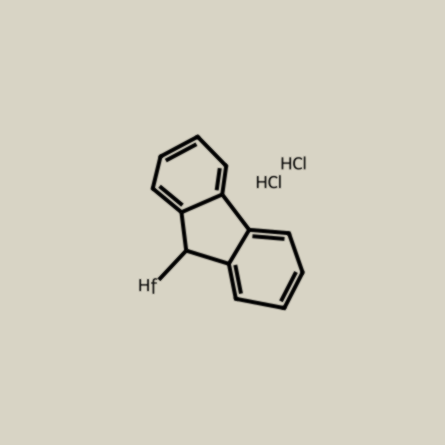 Cl.Cl.[Hf][CH]1c2ccccc2-c2ccccc21